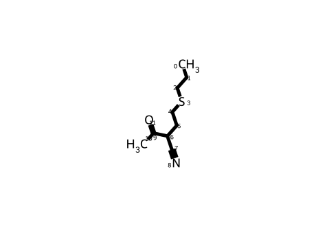 CCCSCCC(C#N)C(C)=O